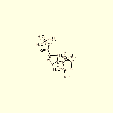 C[Si](C)(C)OC(=S)C1=CCC(N2[Si](C)(C)CC[Si]2(C)C)C1